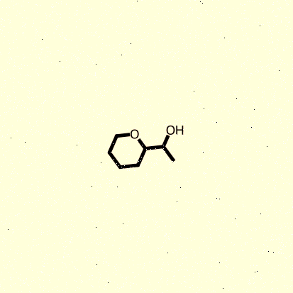 CC(O)C1CCCCO1